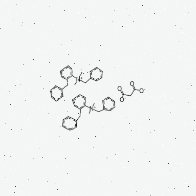 C[N+](C)(Cc1ccccc1)c1ccccc1Cc1ccccc1.C[N+](C)(Cc1ccccc1)c1ccccc1Cc1ccccc1.O=C([O-])CC(=O)[O-]